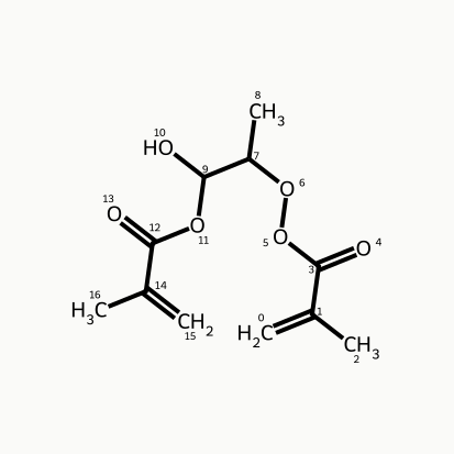 C=C(C)C(=O)OOC(C)C(O)OC(=O)C(=C)C